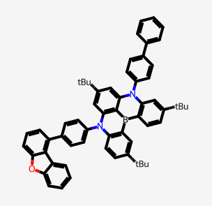 CC(C)(C)c1ccc2c(c1)B1c3ccc(C(C)(C)C)cc3N(c3ccc(-c4ccccc4)cc3)c3cc(C(C)(C)C)cc(c31)N2c1ccc(-c2cccc3oc4ccccc4c23)cc1